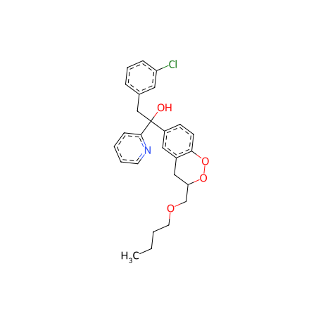 CCCCOCC1Cc2cc(C(O)(Cc3cccc(Cl)c3)c3ccccn3)ccc2OO1